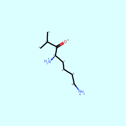 CC(C)C(=O)[C@H](N)CCCCN